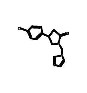 O=C1CC(c2ccc(Cl)cc2)CN1Cn1ccnc1